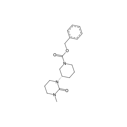 CN1CCCN([C@H]2CCCN(C(=O)OCc3ccccc3)C2)C1=O